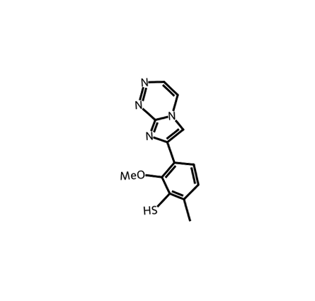 COc1c(-c2cn3ccnnc3n2)ccc(C)c1S